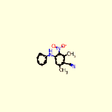 Cc1cc(Nc2c[c]ccc2)c([N+](=O)[O-])c(C)c1C#N